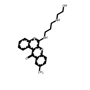 Cc1ccc2sc3c(NCCCNCCO)nc4ccccc4c3c(=O)c2c1